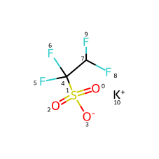 O=S(=O)([O-])C(F)(F)C(F)F.[K+]